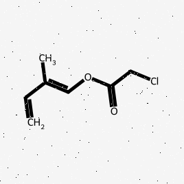 C=CC(C)=COC(=O)CCl